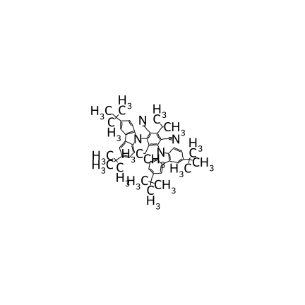 CC(C)c1c(C#N)c(-n2c3ccc(C(C)(C)C)cc3c3cc(C(C)(C)C)ccc32)c(C(C)C)c(-n2c3ccc(C(C)(C)C)cc3c3cc(C(C)(C)C)ccc32)c1C#N